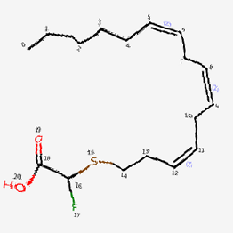 CCCCC/C=C\C/C=C\C/C=C\CCSC(F)C(=O)O